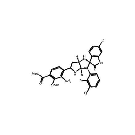 COC(=O)c1ccc(C2C[C@@H]3N[C@@]4(C(=O)Nc5cc(Cl)ccc54)[C@@H](c4cccc(Cl)c4F)[C@@H]3N2)c(N)c1OC